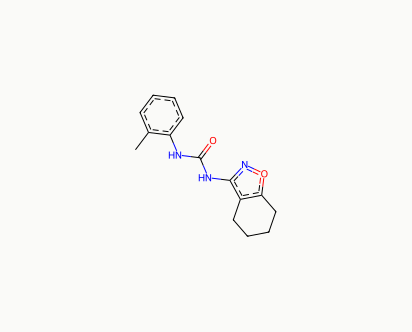 Cc1ccccc1NC(=O)Nc1noc2c1CCCC2